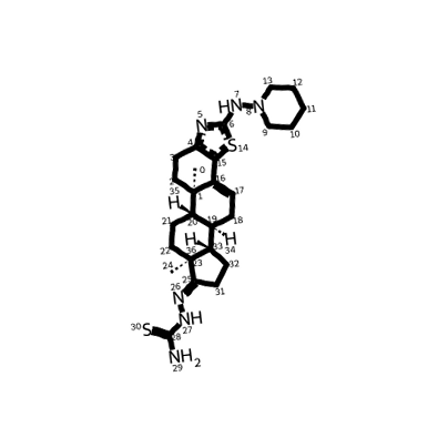 C[C@]12CCc3nc(NN4CCCCC4)sc3C1=CC[C@@H]1[C@@H]2CC[C@]2(C)/C(=N/NC(N)=S)CC[C@@H]12